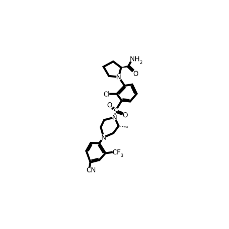 C[C@@H]1CN(c2ccc(C#N)cc2C(F)(F)F)CCN1S(=O)(=O)c1cccc(N2CCC[C@H]2C(N)=O)c1Cl